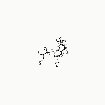 CCCC(C)C(=O)OCCc1cc(C(C)(C)C)cc(C)c1OC(=O)OCC